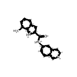 Cc1cccc2cc(C(=O)Nc3ccc4cnccc4c3)[nH]c12